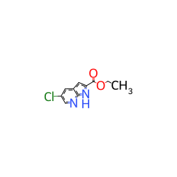 CCOC(=O)c1cc2cc(Cl)cnc2[nH]1